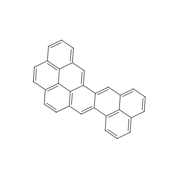 c1cc2cccc3c4cc5ccc6ccc7cccc8cc(c4cc(c1)c23)c5c6c78